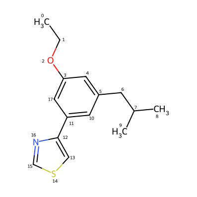 CCOc1cc(CC(C)C)cc(-c2cscn2)c1